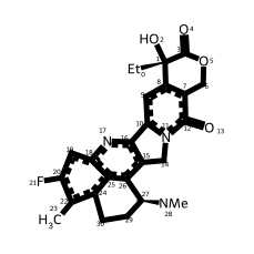 CC[C@@]1(O)C(=O)OCc2c1cc1n(c2=O)Cc2c-1nc1cc(F)c(C)c3c1c2[C@@H](NC)CC3